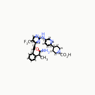 CC(C(N)=O)c1ccccc1C#Cc1nc(Nc2ccc(C3CCN(C(=O)O)CC3)nc2)ncc1C(F)(F)F